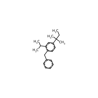 CCC(C)(C)c1ccc(Cc2ccccc2)c(C(C)C)c1